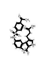 CC(=O)c1ccc(S(=O)(=O)Nc2ccc3[nH]c(=O)c4[nH]cc(CCC(=O)O)c4c3c2)cc1